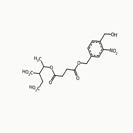 CC(OC(=O)CCC(=O)OCc1ccc(CO)c([N+](=O)[O-])c1)C(CC(=O)O)C(=O)O